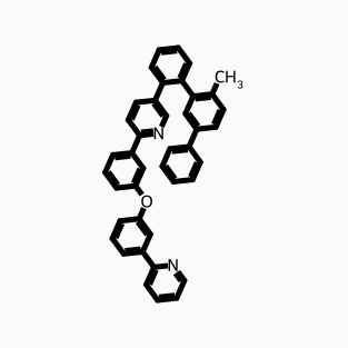 Cc1ccc(-c2ccccc2)cc1-c1ccccc1-c1ccc(-c2cccc(Oc3cccc(-c4ccccn4)c3)c2)nc1